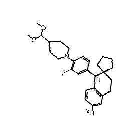 [2H]c1ccc2c(c1)CCC1(CCCC1)[C@@H]2c1ccc(N2CCC(C(OC)OC)CC2)c(F)c1